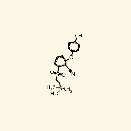 Cc1ccc(Oc2cccc(S(=O)(=O)CC[Si](C)(C)C)c2C#N)cc1